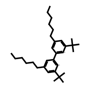 CCCCCCc1cc(-c2[c]c(C(C)(C)C)cc(CCCCCC)c2)[c]c(C(C)(C)C)c1